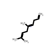 C=CC/C=C(\C)CC=C(C)C